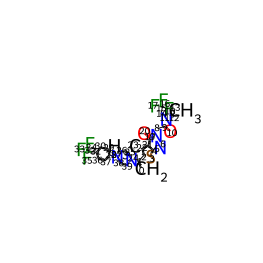 C=C(c1sc2ncn(CC(=O)N(CC)CC(F)(F)F)c(=O)c2c1C)N1CCN(c2ccc(C(F)(F)F)cc2)CC1